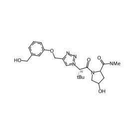 CNC(=O)C1CC(O)CN1C(=O)[C@@H](n1cc(COc2cccc(CO)c2)nn1)C(C)(C)C